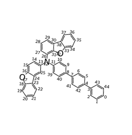 c1ccc(-c2ccc(-c3ccc(N(c4ccc5oc6ccccc6c5c4)c4cccc5c4oc4ccccc45)cc3)cc2)cc1